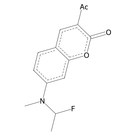 CC(=O)c1cc2ccc(N(C)C(C)F)cc2oc1=O